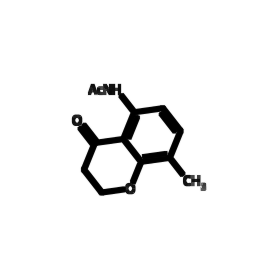 CC(=O)Nc1ccc(C)c2c1C(=O)CCO2